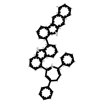 C1=C(c2ccccc2)CC=C(c2ccccc2)N=C1c1cccc2oc3c(-c4cccc5c4oc4cc6ccccc6cc45)cccc3c12